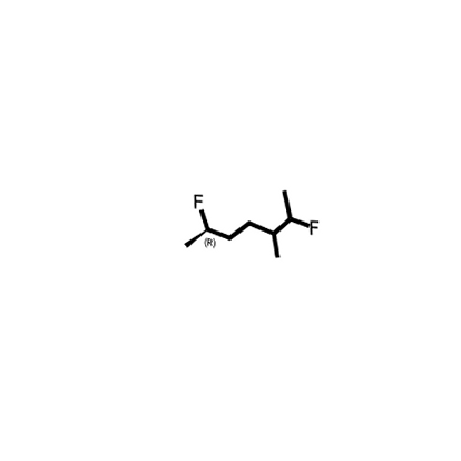 CC(F)C(C)CC[C@@H](C)F